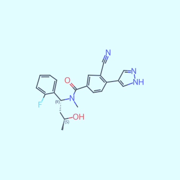 C[C@H](O)C[C@H](c1ccccc1F)N(C)C(=O)c1ccc(-c2cn[nH]c2)c(C#N)c1